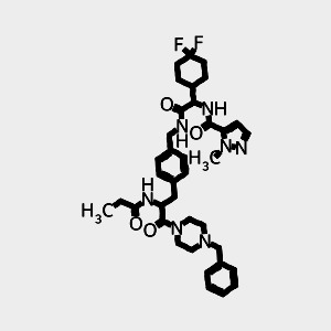 CCC(=O)NC(Cc1ccc(CNC(=O)C(NC(=O)c2ccnn2C)C2CCC(F)(F)CC2)cc1)C(=O)N1CCN(Cc2ccccc2)CC1